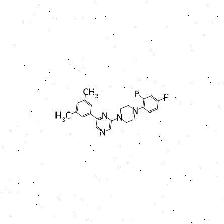 Cc1cc(C)cc(-c2cncc(N3CCN(c4ccc(F)cc4F)CC3)n2)c1